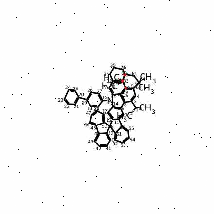 CC(C)c1cc2c(cc1-c1cc3c(cc1N(c1ccc(-c4ccccc4)cc1)c1ccc4c(c1)CCCC4)C1(c4ccccc4-c4ccccc41)c1ccccc1-3)C(C)(C)CCC2(C)C